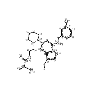 CCc1cnn2c(NCc3ccc[n+]([O-])c3)cc(N3CCCC[C@H]3CCOC(=O)[C@H](C)N)nc12